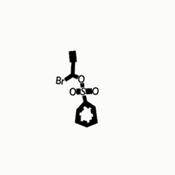 C#CC(Br)OS(=O)(=O)c1ccccc1